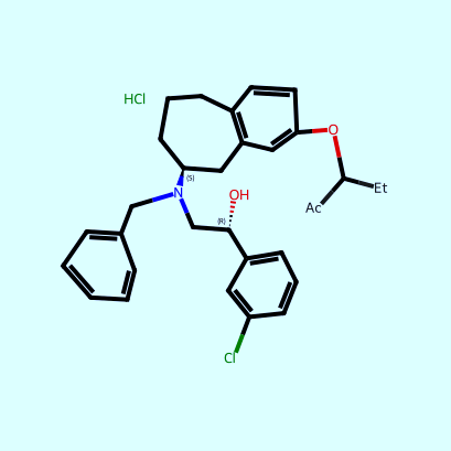 CCC(Oc1ccc2c(c1)C[C@@H](N(Cc1ccccc1)C[C@H](O)c1cccc(Cl)c1)CCC2)C(C)=O.Cl